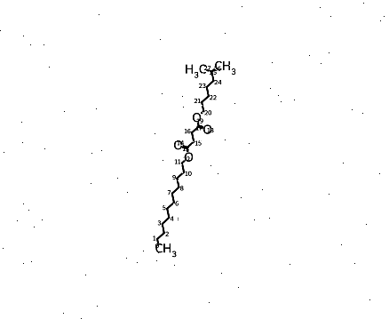 CCCCCCCCCCCCOC(=O)CCC(=O)OCCCCCC(C)C